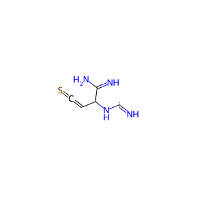 N=[C]NC(C=C=S)C(=N)N